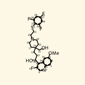 COc1ccc2ncc(F)c([C@H](O)CCC3(CO)CCN(CCSc4c(F)cc(F)cc4F)CC3)c2c1